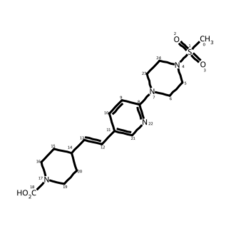 CS(=O)(=O)N1CCN(c2ccc(/C=C/C3CCN(C(=O)O)CC3)cn2)CC1